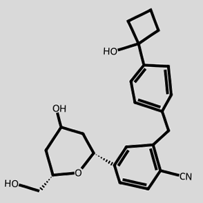 N#Cc1ccc([C@H]2CC(O)C[C@@H](CO)O2)cc1Cc1ccc(C2(O)CCC2)cc1